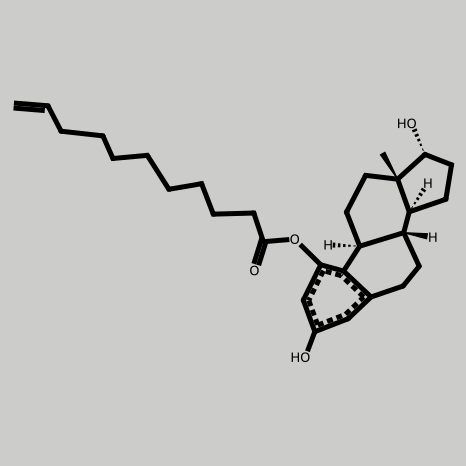 C=CCCCCCCCCC(=O)Oc1cc(O)cc2c1[C@H]1CC[C@]3(C)[C@H](O)CC[C@H]3[C@@H]1CC2